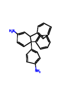 NC1=CC(c2ccccc2)C(c2ccccc2)(c2ccc(N)cc2)C=C1